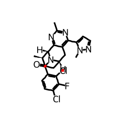 Cc1nc(-c2ccnn2C)c2c(n1)[C@H]1[C@H](C)CC[C@@H](C2)N1C(=O)c1ccc(Cl)c(F)c1Cl